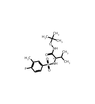 Cc1cc(S(=O)(=O)N[C@@H](C(=O)NOC(C)(C)C)C(C)C)ccc1F